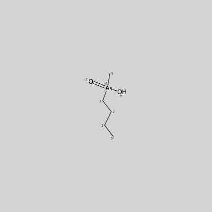 CCCC[As](C)(=O)O